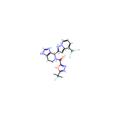 CC(C)(F)c1nnc(C(=O)N2CCc3[nH]cnc3[C@H]2c2cc3c(C(F)F)cccn3n2)o1